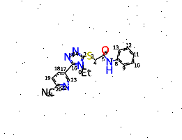 CCn1c(SCC(=O)Nc2ccccc2)nnc1-c1ccc(C#N)nc1